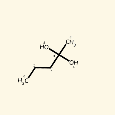 CC[CH]C(C)(O)O